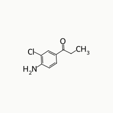 CCC(=O)c1ccc(N)c(Cl)c1